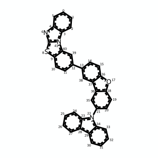 c1ccc2c(c1)nc1sc3ccc(-c4ccc5oc6ccc(-n7c8ccccc8c8ccccc87)cc6c5c4)cc3n12